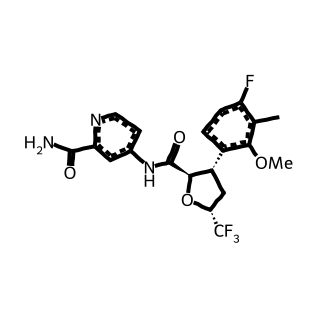 COc1c([C@@H]2C[C@H](C(F)(F)F)O[C@H]2C(=O)Nc2ccnc(C(N)=O)c2)ccc(F)c1C